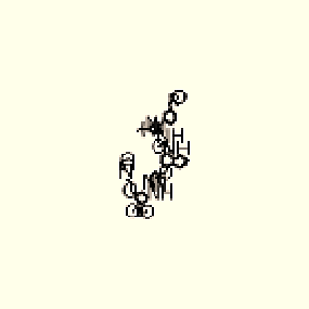 CC(C)(C)c1cc(NC(=O)Nc2ccc(Oc3ccnc(Nc4cc(OCCN5CCOCC5)cc(S(C)(=O)=O)c4)n3)c3ccccc23)n(-c2cccc(CP(C)(C)=O)c2)n1